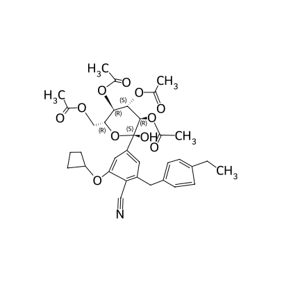 CCc1ccc(Cc2cc([C@]3(O)O[C@H](COC(C)=O)[C@@H](OC(C)=O)[C@H](OC(C)=O)[C@H]3OC(C)=O)cc(OC3CCC3)c2C#N)cc1